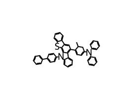 CC1CC(N(c2ccccc2)c2ccccc2)=CC=C1c1cc2c3ccccc3sc2c2c1c1ccccc1n2-c1ccc(-c2ccccc2)cc1